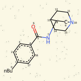 CCCCc1ccc(C(=O)NC2CN3CCC2CC3)cc1